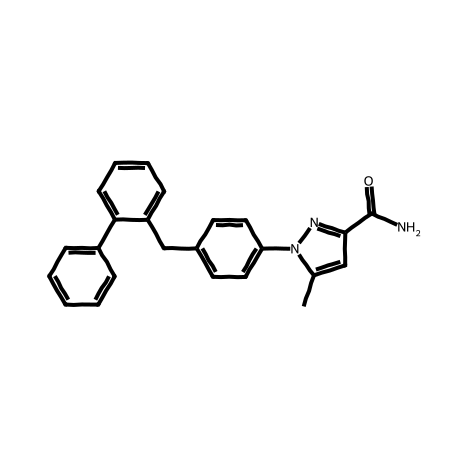 Cc1cc(C(N)=O)nn1-c1ccc(Cc2ccccc2-c2ccccc2)cc1